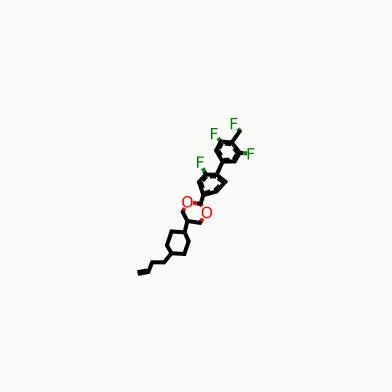 C=CCCC1CCC(C2COC(c3ccc(-c4cc(F)c(CF)c(F)c4)c(F)c3)OC2)CC1